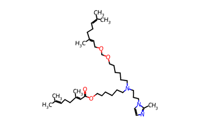 CC(C)=CCC/C(C)=C/COCOCCCCCCN(CCCCCCOC(=O)/C=C(\C)CCC=C(C)C)CCCn1ccnc1C